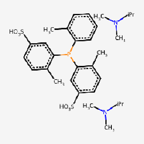 CC(C)N(C)C.CC(C)N(C)C.Cc1ccccc1P(c1cc(S(=O)(=O)O)ccc1C)c1cc(S(=O)(=O)O)ccc1C